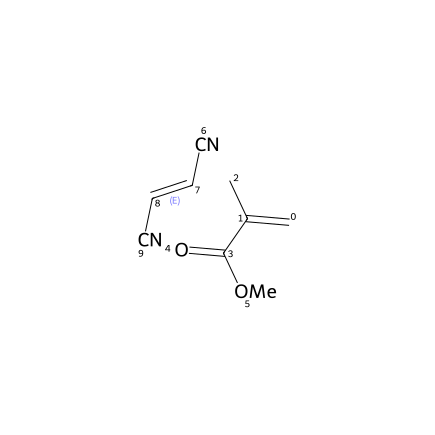 C=C(C)C(=O)OC.N#C/C=C/C#N